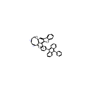 C=C1/C=C\C=C/COc2cc3c(oc4ccccc43)c(-c3cccc(-c4c5ccccc5c(-c5ccccc5)c5ccccc45)c3)c21